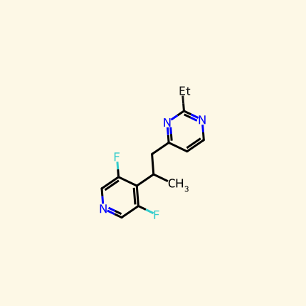 CCc1nccc(CC(C)c2c(F)cncc2F)n1